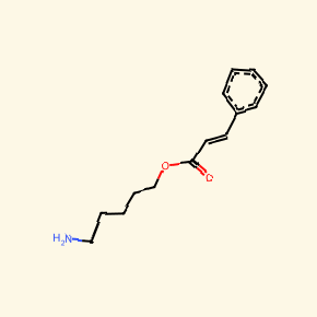 NCCCCCOC(=O)/C=C/c1ccccc1